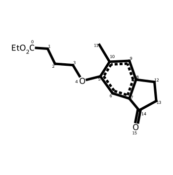 CCOC(=O)CCCOc1cc2c(cc1C)CCC2=O